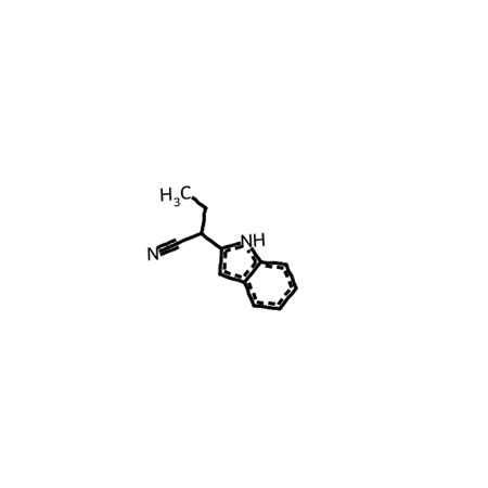 CCC(C#N)c1cc2ccccc2[nH]1